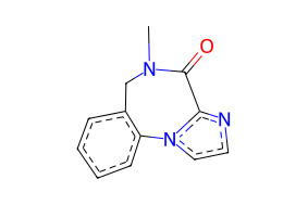 CN1Cc2ccccc2-n2ccnc2C1=O